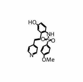 COc1ccc(S(=O)(=O)Nc2ccc(O)cc2C=Cc2ccncc2)cc1